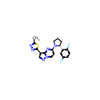 Cc1nnc(-c2cnn3ccc(N4CCC[C@@H]4c4cc(F)ccc4F)nc23)s1